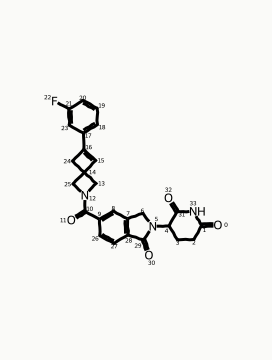 O=C1CCC(N2Cc3cc(C(=O)N4CC5(C=C(c6cccc(F)c6)C5)C4)ccc3C2=O)C(=O)N1